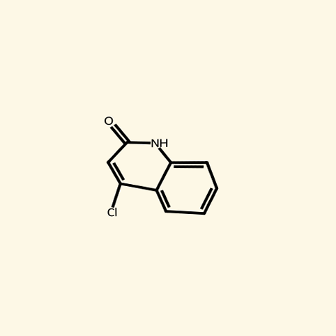 O=c1cc(Cl)c2ccccc2[nH]1